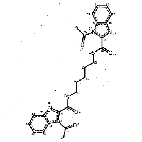 CC(=O)n1c(C(=O)SCCCCCSC(=O)c2nc3ccccc3n2C(C)=O)nc2ccccc21